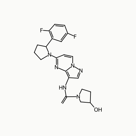 C=C(Nc1cnn2ccc(N3CCCC3c3cc(F)ccc3F)nc12)N1CCC(O)C1